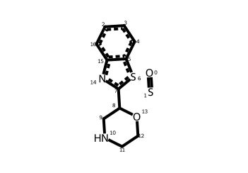 O=S.c1ccc2sc(C3CNCCO3)nc2c1